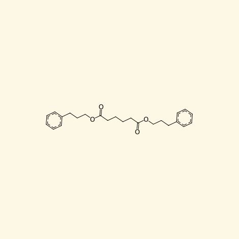 O=C(CCCCC(=O)OCCCc1ccccc1)OCCCc1ccccc1